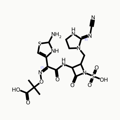 CC(C)(O/N=C(\C(=O)NC1C(=O)N(S(=O)(=O)O)C1CN1CCN/C1=N\C#N)C1=CSC(N)N1)C(=O)O